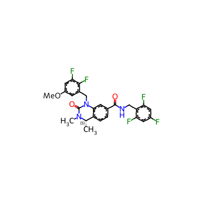 COc1cc(F)c(F)c(CN2C(=O)N(C)[C@@H](C)c3ccc(C(=O)NCc4c(F)cc(F)cc4F)cc32)c1